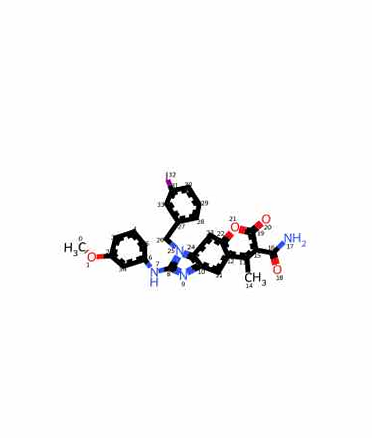 COc1cccc(Nc2nc3cc4c(C)c(C(N)=O)c(=O)oc4cc3n2Cc2cccc(I)c2)c1